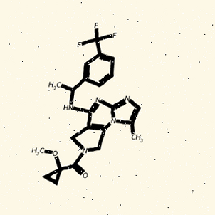 COC1(C(=O)N2Cc3c(NC(C)c4cccc(C(F)(F)F)c4)nc4ncc(C)n4c3C2)CC1